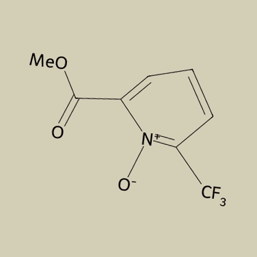 COC(=O)c1cccc(C(F)(F)F)[n+]1[O-]